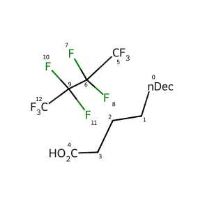 CCCCCCCCCCCCCC(=O)O.FC(F)(F)C(F)(F)C(F)(F)C(F)(F)F